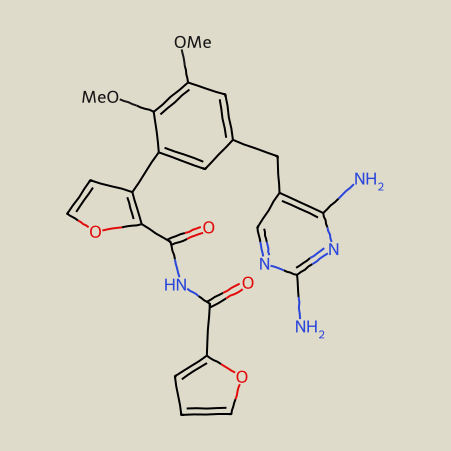 COc1cc(Cc2cnc(N)nc2N)cc(-c2ccoc2C(=O)NC(=O)c2ccco2)c1OC